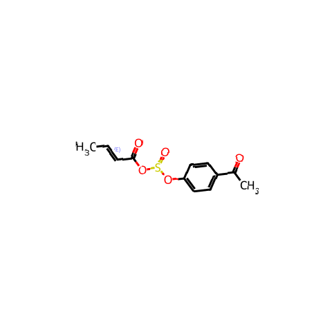 C/C=C/C(=O)OS(=O)Oc1ccc(C(C)=O)cc1